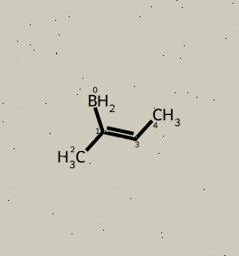 B/C(C)=C\C